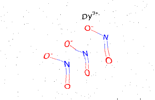 O=N[O-].O=N[O-].O=N[O-].[Dy+3]